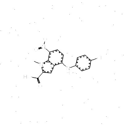 Cn1c(C(=O)O)cc2c(Nc3ccc(Cl)cc3)ccc([N+](=O)[O-])c21